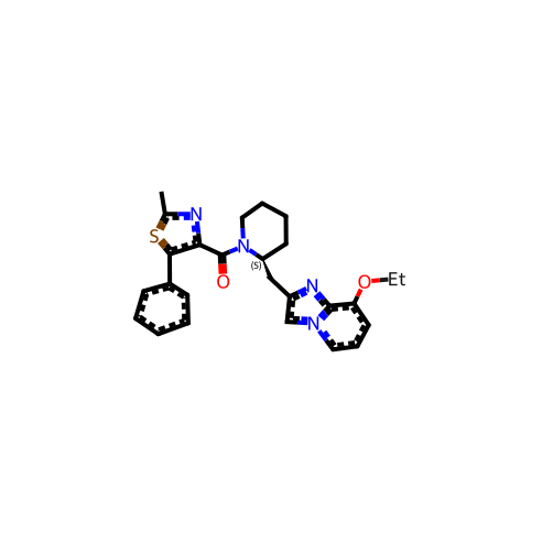 CCOc1cccn2cc(C[C@@H]3CCCCN3C(=O)c3nc(C)sc3-c3ccccc3)nc12